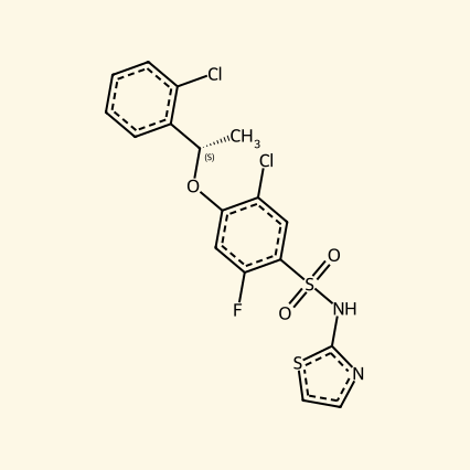 C[C@H](Oc1cc(F)c(S(=O)(=O)Nc2nccs2)cc1Cl)c1ccccc1Cl